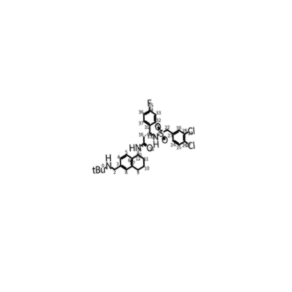 CC(C)(C)NCc1ccc2c(c1)CCC[C@H]2NC(=O)C[C@@H](NS(=O)(=O)Cc1ccc(Cl)c(Cl)c1)c1ccc(F)cc1